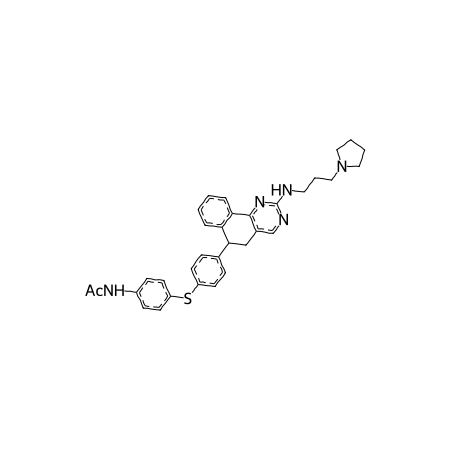 CC(=O)Nc1ccc(Sc2ccc(C3Cc4cnc(NCCCN5CCCC5)nc4-c4ccccc43)cc2)cc1